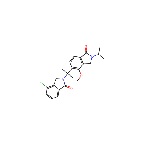 COc1c(C(C)(C)N2Cc3c(Cl)cccc3C2=O)ccc2c1CN(C(C)C)C2=O